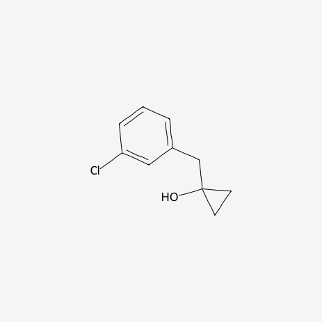 OC1(Cc2cccc(Cl)c2)CC1